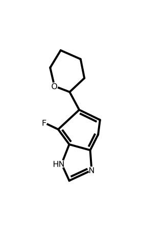 Fc1c(C2CCCCO2)ccc2nc[nH]c12